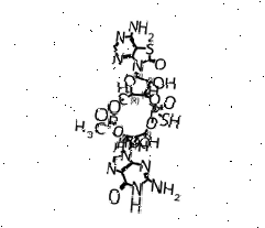 CP1(=O)OC[C@H]2O[C@@H](n3c(=O)sc4c(N)ncnc43)[C@H](O)[C@@H]2OP(=O)(S)O[C@H]2O[C@@H](n3cnc4c(=O)[nH]c(N)nc43)[C@H](O1)[C@@H]2O